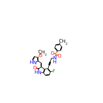 COc1cc[nH]c1C=C1C(=O)Nc2ccc(F)c(C#CCNS(=O)(=O)c3ccc(C)cc3)c21